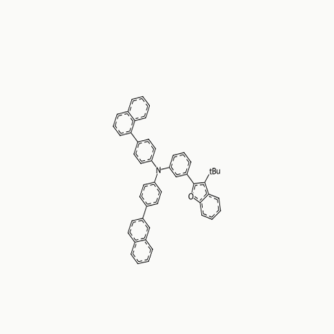 CC(C)(C)c1c(-c2cccc(N(c3ccc(-c4ccc5ccccc5c4)cc3)c3ccc(-c4cccc5ccccc45)cc3)c2)oc2ccccc12